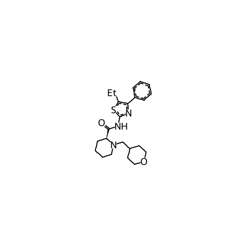 CCc1sc(NC(=O)[C@@H]2CCCCN2CC2CCOCC2)nc1-c1ccccc1